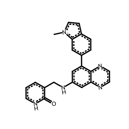 Cn1ccc2ccc(-c3cc(NCc4ccc[nH]c4=O)cc4nccnc34)cc21